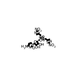 Nc1ccn([C@@H]2O[C@H](COP(=O)(OCc3cnc([N+](=O)[O-])s3)OCc3cnc([N+](=O)[O-])s3)[C@@H](O)C2O)c(=O)n1